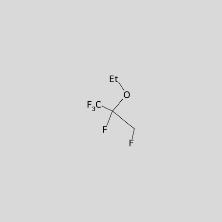 CCOC(F)(CF)C(F)(F)F